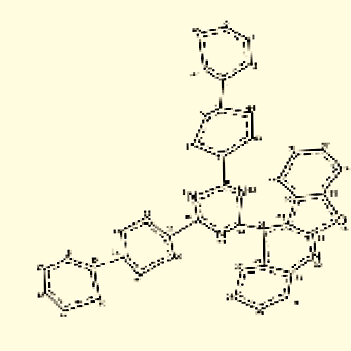 c1ccc(-c2ccc(-c3nc(-c4ccc(-c5ccccc5)cc4)nc(-c4c5ccccc5nc5oc6ccccc6c45)n3)cc2)cc1